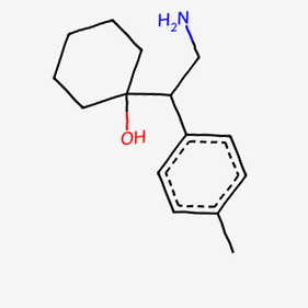 Cc1ccc(C(CN)C2(O)CCCCC2)cc1